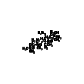 C#S(C)(C)C(C)(C)O[Si](C)(CCCN)C(C)(C)CO[Si](C)(C)[C@@H](C)O[Si](C)(C)C